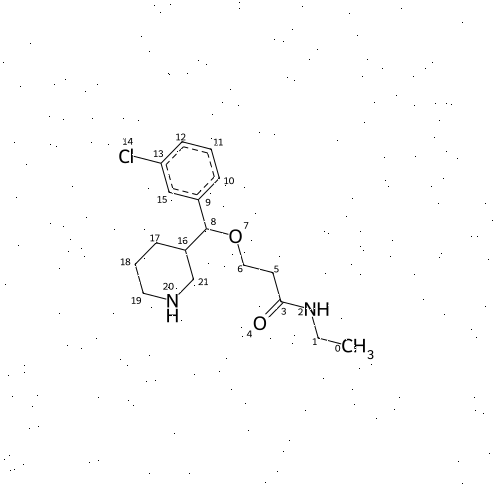 CCNC(=O)CCOC(c1cccc(Cl)c1)C1CCCNC1